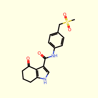 CS(=O)(=O)Cc1ccc(NC(=O)c2c[nH]c3c2C(=O)CCC3)cc1